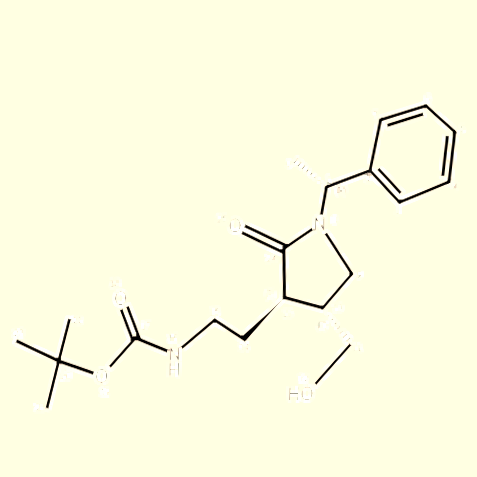 C[C@H](c1ccccc1)N1C[C@H](CO)[C@@H](CCNC(=O)OC(C)(C)C)C1=O